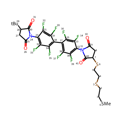 CSCCSCCSC1CC(=O)N(c2c(F)c(F)c(-c3c(F)c(F)c(N4C(=O)CC(C(C)(C)C)C4=O)c(F)c3F)c(F)c2F)C1=O